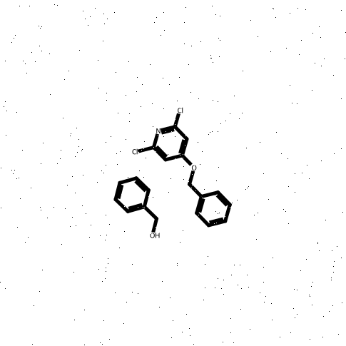 Clc1cc(OCc2ccccc2)cc(Cl)n1.OCc1ccccc1